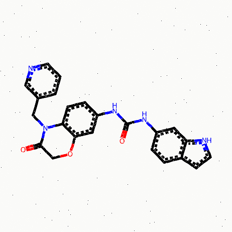 O=C(Nc1ccc2c(c1)OCC(=O)N2Cc1cccnc1)Nc1ccc2cc[nH]c2c1